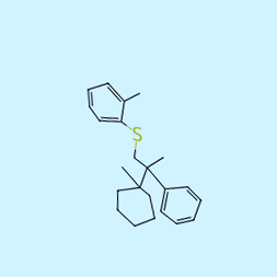 Cc1ccccc1SCC(C)(c1ccccc1)C1(C)CCCCC1